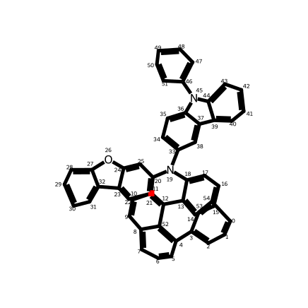 c1ccc(-c2cccc3cccc(-c4ccccc4N(c4ccc5c(c4)oc4ccccc45)c4ccc5c(c4)c4ccccc4n5-c4ccccc4)c23)cc1